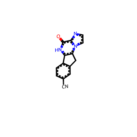 N#Cc1ccc2c(c1)Cc1c-2[nH]c(=O)c2nccn12